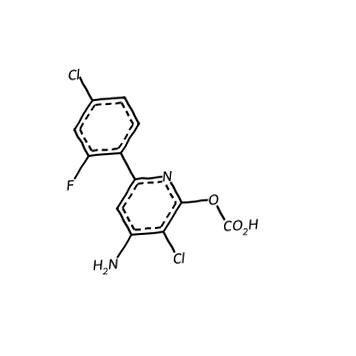 Nc1cc(-c2ccc(Cl)cc2F)nc(OC(=O)O)c1Cl